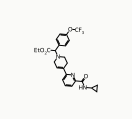 CCOC(=O)C(c1ccc(OC(F)(F)F)cc1)N1CC=C(c2cccc(C(=O)NC3CC3)n2)CC1